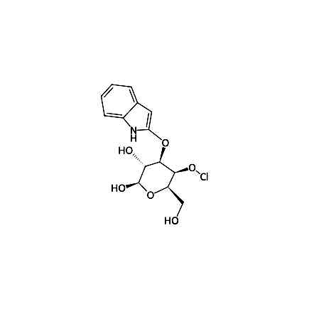 OC[C@H]1O[C@@H](O)[C@H](O)[C@@H](Oc2cc3ccccc3[nH]2)[C@H]1OCl